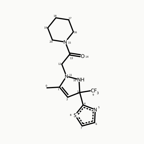 CC1=CC(c2nccs2)(C(F)(F)F)NN1CC(=O)N1CCCCC1